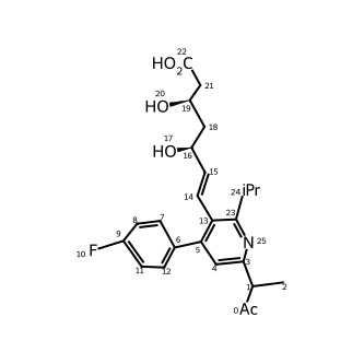 CC(=O)C(C)c1cc(-c2ccc(F)cc2)c(/C=C/[C@@H](O)C[C@@H](O)CC(=O)O)c(C(C)C)n1